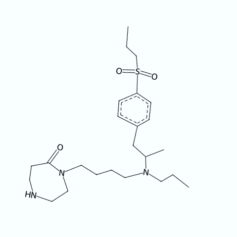 CCCN(CCCCN1CCNCCC1=O)C(C)Cc1ccc(S(=O)(=O)CCC)cc1